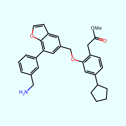 COC(=O)Cc1ccc(C2CCCC2)cc1OCc1cc(-c2cccc(CN)c2)c2occc2c1